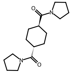 O=C([C@H]1CC[C@H](C(=O)N2CCCC2)CC1)N1CCCC1